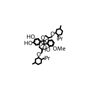 COc1cccc(C2(C3(c4ccc(O)c(O)c4)OCC(COC4CC(C)CCC4C(C)C)O3)OCC(COC3CC(C)CCC3C(C)C)O2)c1O